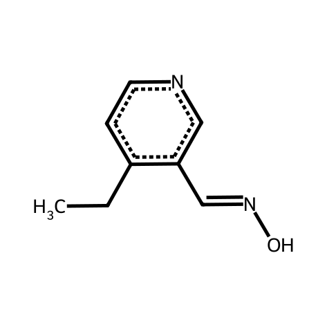 CCc1ccncc1/C=N/O